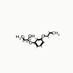 C=CCOc1cccc(O[C@H](O)C=C)c1